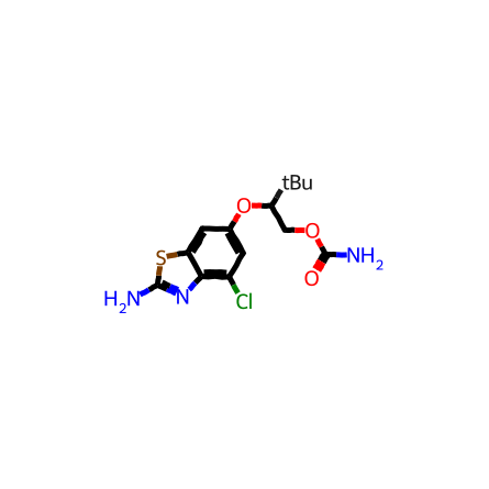 CC(C)(C)C(COC(N)=O)Oc1cc(Cl)c2nc(N)sc2c1